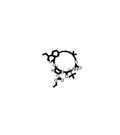 CCOC(=O)[C@@H]1C[C@@H]2CN1C(=O)[C@H](C(C)(C)C)NC(=O)OCC(C)(C)CCCc1ccc3c(CC)cnc(c3c1)O2